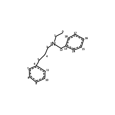 CCN(CCCc1ccccc1)Cc1ccccc1